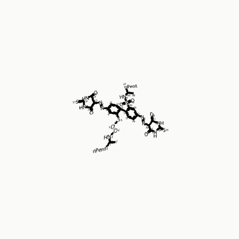 CCCCCC(C)NOOSc1cc(N=NC2C(=O)NC(=S)NC2=O)ccc1-c1ccc(N=NC2C(=O)NC(=S)NC2=O)cc1S(=O)(=O)NC(C)CCCCC